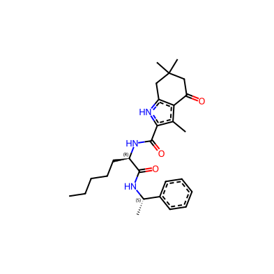 CCCCC[C@@H](NC(=O)c1[nH]c2c(c1C)C(=O)CC(C)(C)C2)C(=O)N[C@@H](C)c1ccccc1